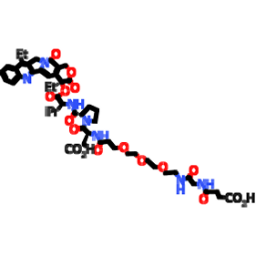 CCc1c2c(nc3ccccc13)-c1cc3c(c(=O)n1C2)COC(=O)[C@@]3(CC)OC(=O)[C@@H](NC(=O)[C@@H]1CCCN1C(=O)[C@H](CC(=O)O)NC(=O)CCOCCOCCOCCNC(=O)CNC(=O)CCC(=O)O)C(C)C